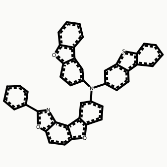 c1ccc(-c2nc3c(ccc4oc5ccc(N(c6ccc7c(c6)sc6ccccc67)c6ccc7oc8ccccc8c7c6)cc5c43)o2)cc1